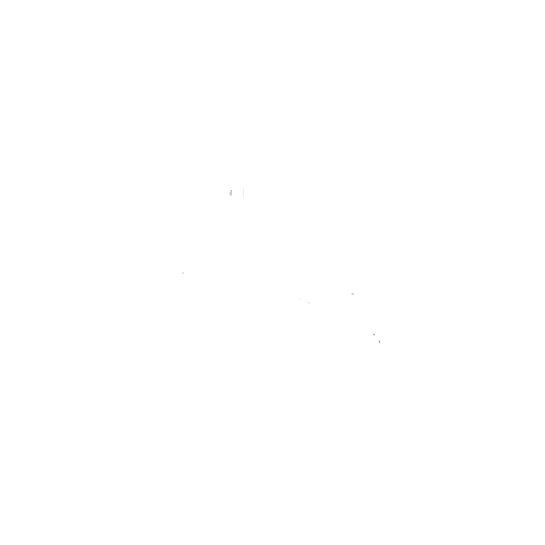 CC(C)(S)CCc1ccncc1